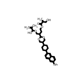 C=C(CO)C(=O)OCCC(COC(O)C(=C)C)C1OCC(C2CCC(c3ccc4cc(CCC)ccc4c3)CC2)CO1